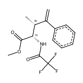 C=C(c1ccccc1)[C@@H](C)[C@H](NC(=O)C(F)(F)F)C(=O)OC